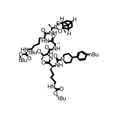 CCCCc1ccc(C2CCN(C(=O)N[C@@H](CCCCNC(=O)OC(C)(C)C)C(=O)N[C@H](C(=O)N[C@@H](C)C(=O)N[C@@H](CCCCNC(=O)OC(C)(C)C)C(=O)N[C@@H](C)B3O[C@@H]4C[C@@H]5C[C@@H](C5(C)C)[C@]4(C)O3)[C@@H](C)OC(C)(C)C)CC2)cc1